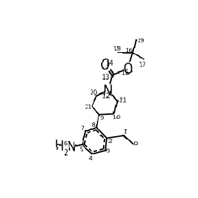 CCc1ccc(N)cc1C1CCN(C(=O)OC(C)(C)C)CC1